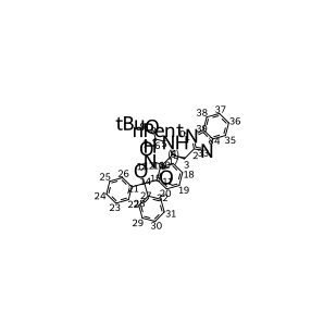 CCCCCn1c(C[C@H](NC(=O)OC(C)(C)C)C(=O)NOC(c2ccccc2)(c2ccccc2)c2ccccc2)nc2ccccc21